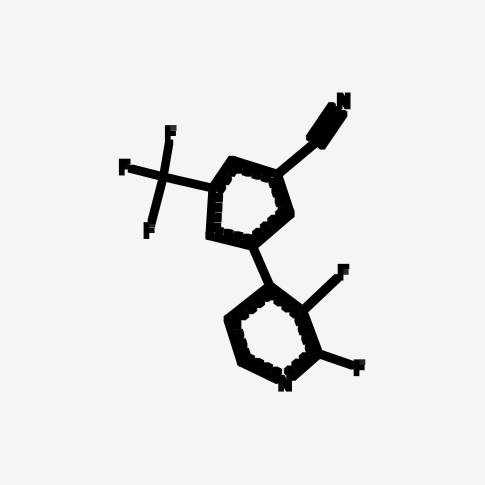 N#Cc1cc(-c2ccnc(F)c2F)cc(C(F)(F)F)c1